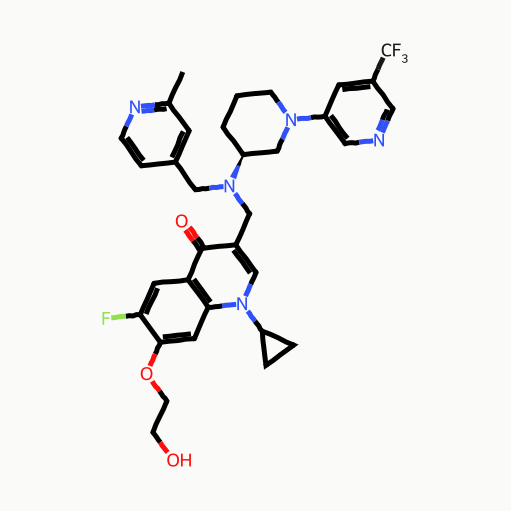 Cc1cc(CN(Cc2cn(C3CC3)c3cc(OCCO)c(F)cc3c2=O)[C@H]2CCCN(c3cncc(C(F)(F)F)c3)C2)ccn1